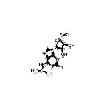 CN(C)Nc1nc(Cl)nc2c1ncn2[C@@H]1O[C@H](CCl)C(O)C1O